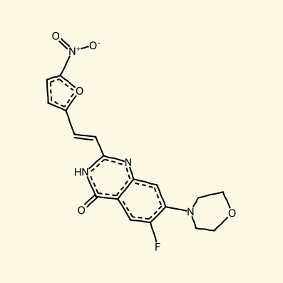 O=c1[nH]c(/C=C/c2ccc([N+](=O)[O-])o2)nc2cc(N3CCOCC3)c(F)cc12